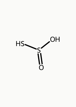 O=S(O)S